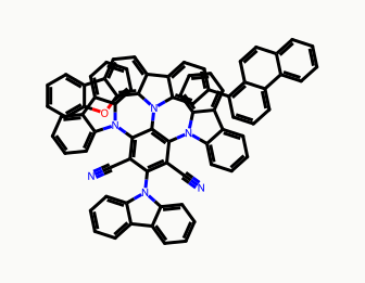 N#Cc1c(-n2c3ccccc3c3ccccc32)c(C#N)c(-n2c3ccccc3c3ccccc32)c(-n2c3cc(-c4cccc5c4ccc4ccccc45)ccc3c3ccc4c5ccccc5oc4c32)c1-n1c2ccccc2c2ccccc21